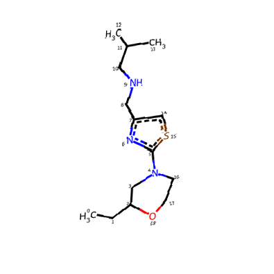 CCC1CN(c2nc(CNCC(C)C)cs2)CCO1